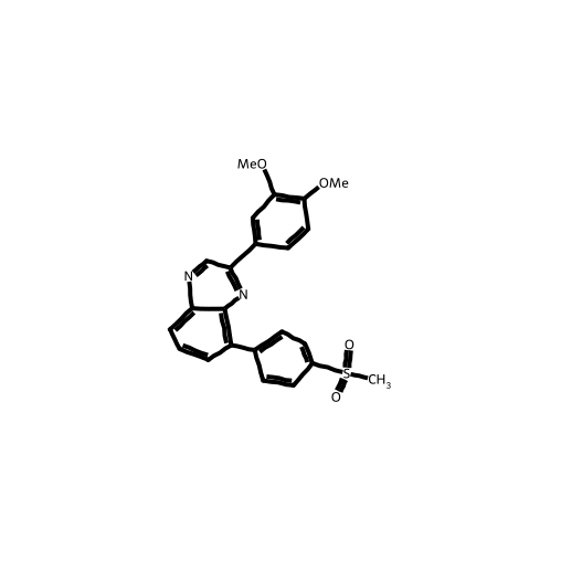 COc1ccc(-c2cnc3cccc(-c4ccc(S(C)(=O)=O)cc4)c3n2)cc1OC